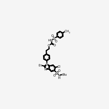 CCc1nc2cc(S(=O)(=O)NC(C)(C)C)c(Cl)cc2n1-c1ccc(CCOC(=O)NS(=O)(=O)c2ccc(C)cc2)cc1